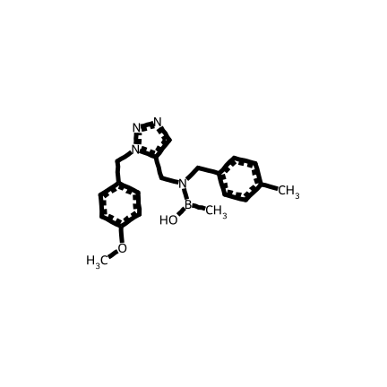 COc1ccc(Cn2nncc2CN(Cc2ccc(C)cc2)B(C)O)cc1